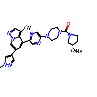 CO[C@H]1CCN(C(=O)N2CCN(c3cnc(-c4cc(-c5cnn(C)c5)cn5ncc(C#N)c45)cn3)CC2)C1